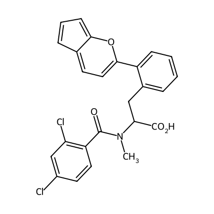 CN(C(=O)c1ccc(Cl)cc1Cl)C(Cc1ccccc1-c1ccc2cccc-2o1)C(=O)O